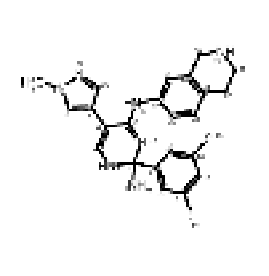 Cn1cc(C2=CNC(N)(c3cc(Cl)cc(Cl)c3)N=C2Nc2ccc3c(c2)CNCC3)cn1